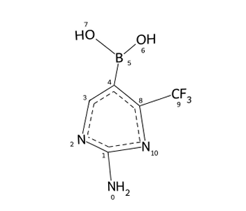 Nc1ncc(B(O)O)c(C(F)(F)F)n1